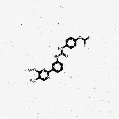 COc1nc(-c2cccc(NC(=O)Nc3ccc(OC(F)F)cc3)c2)ncc1C(F)(F)F